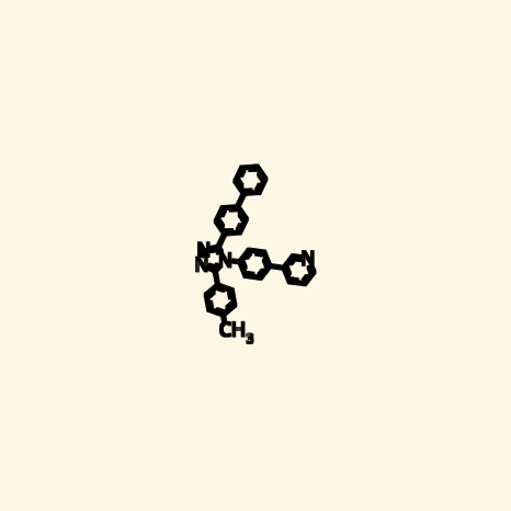 Cc1ccc(-c2nnc(-c3ccc(-c4ccccc4)cc3)n2-c2ccc(-c3cccnc3)cc2)cc1